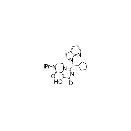 CC(C)N1CCn2c(C(C3CCCC3)n3ccc4cccnc43)nc(=O)c(O)c2C1=O